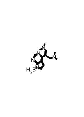 Bn1ccc2c(/C(=C\N(C)C)CN(C)C)ncnc21